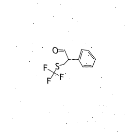 O=CC(CSC(F)(F)F)c1ccccc1